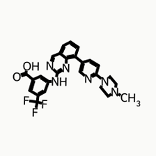 CN1CCN(c2ccc(-c3cccc4cnc(Nc5cc(C(=O)O)cc(C(F)(F)F)c5)nc34)cn2)CC1